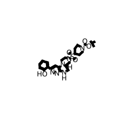 CC(C)(C)OC(=O)N1CCC(S(=O)(=O)N2CCN3c4cc(-c5ccccc5O)nnc4NC[C@H]3C2)CC1